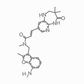 Cc1oc2c(N)cccc2c1CN(C)C(=O)/C=C/c1cnc2c(c1)NCC(C)(C)C(=O)N2